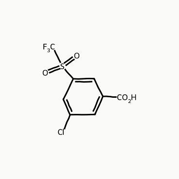 O=C(O)c1cc(Cl)cc(S(=O)(=O)C(F)(F)F)c1